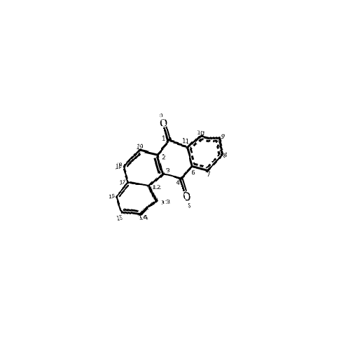 O=C1C2=C(C(=O)c3ccccc31)C1CC=CC=C1C=C2